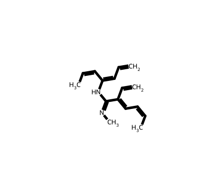 C=C/C=C(\C=C/C)NC(=N/C)/C(C=C)=C/C=C\C